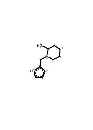 CC1C[N]CCN1Cc1ncc[nH]1